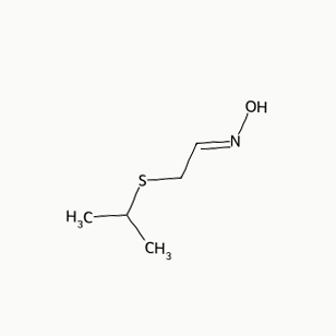 CC(C)SCC=NO